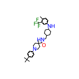 Cc1ccc(NC2CCC(CNC(=O)C3(C)CCN(c4ccc(C(C)(C)C)cc4)CC3)CC2)cc1C(F)(F)F